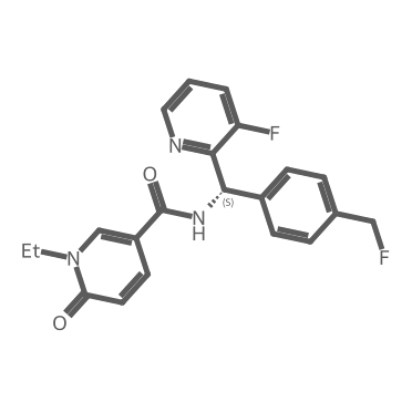 CCn1cc(C(=O)N[C@@H](c2ccc(CF)cc2)c2ncccc2F)ccc1=O